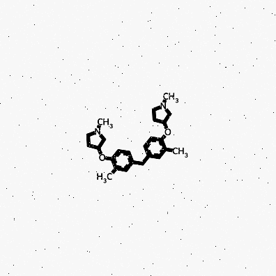 Cc1cc(Cc2ccc(OC3CCN(C)C3)c(C)c2)ccc1OC1CCN(C)C1